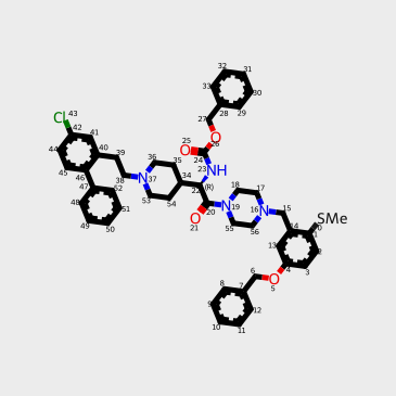 CSc1ccc(OCc2ccccc2)cc1CN1CCN(C(=O)[C@H](NC(=O)OCc2ccccc2)C2CCN(CCc3cc(Cl)ccc3-c3ccccc3)CC2)CC1